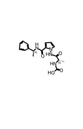 C[C@H](NC(=O)O)C(=O)Nn1cccc1C(=O)N[C@@H](C)c1ccccc1